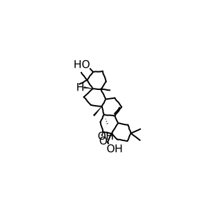 CC1(C)CCC2(C(=O)O)C(C1)C1=CCC3C4(C)CCC(O)C(C)(C)[C@H]4CC[C@@]3(C)[C@]1(C)C[C@@H]2O